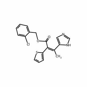 CC(=C(C(=O)OCc1ccccc1Cl)c1cccs1)c1cnc[nH]1